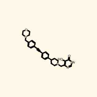 O=c1[nH]cnc(CN2CCC(c3ccc(C#Cc4ccc(CN5CCOCC5)cc4)cc3)CC2)c1O